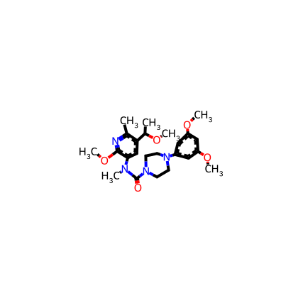 COc1cc(OC)cc(N2CCN(C(=O)N(C)c3cc(C(C)OC)c(C)nc3OC)CC2)c1